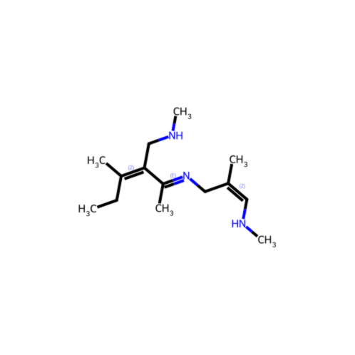 CC/C(C)=C(CNC)\C(C)=N\C/C(C)=C\NC